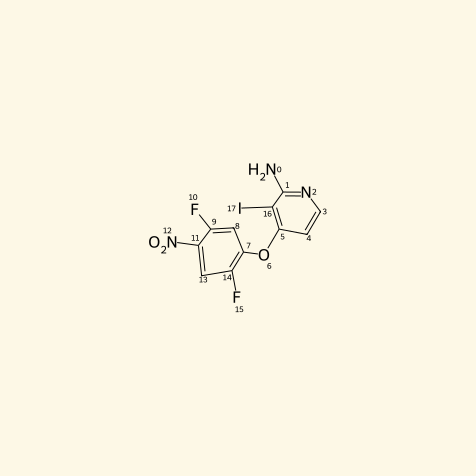 Nc1nccc(Oc2cc(F)c([N+](=O)[O-])cc2F)c1I